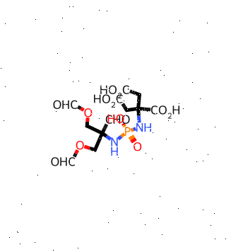 O=COCC(C=O)(COC=O)NP(=O)(O)NC(CC(=O)O)(CC(=O)O)C(=O)O